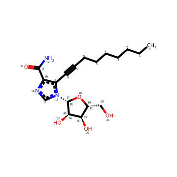 CCCCCCCC#Cc1c(C(N)=O)ncn1[C@@H]1O[C@H](CO)[C@@H](O)[C@H]1O